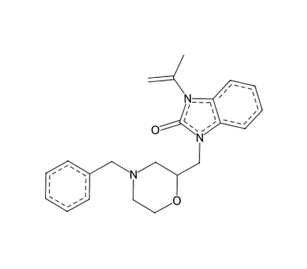 C=C(C)n1c(=O)n(CC2CN(Cc3ccccc3)CCO2)c2ccccc21